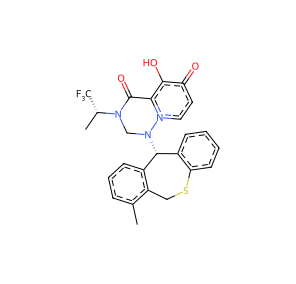 Cc1cccc2c1CSc1ccccc1[C@H]2N1CN([C@H](C)C(F)(F)F)C(=O)c2c(O)c(=O)ccn21